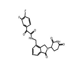 O=C1CCC(N2Cc3c(CNC(=O)C(=O)c4ccc(F)c(F)c4)cccc3C2=O)C(=O)N1